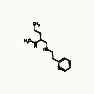 CCC[C@@H](CNCCc1ccccn1)NC